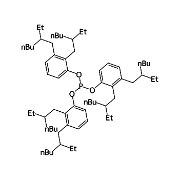 CCCCC(CC)Cc1cccc(OP(Oc2cccc(CC(CC)CCCC)c2CC(CC)CCCC)Oc2cccc(CC(CC)CCCC)c2CC(CC)CCCC)c1CC(CC)CCCC